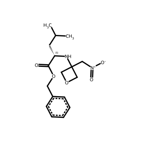 CC(C)C[C@H](NC1(C[N+](=O)[O-])COC1)C(=O)OCc1ccccc1